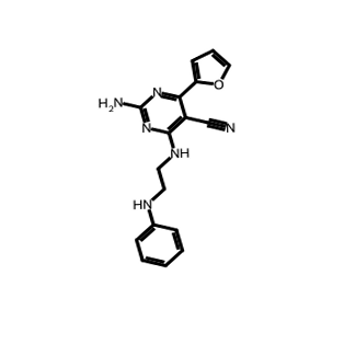 N#Cc1c(NCCNc2ccccc2)nc(N)nc1-c1ccco1